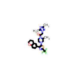 Cc1nc(C)n(CC(=O)N2CCN(c3sc(C(F)(F)F)nc3-c3ccc4c(c3)CCCO4)CC2C)n1